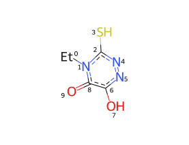 CCn1c(S)nnc(O)c1=O